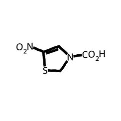 O=C(O)N1C=C([N+](=O)[O-])SC1